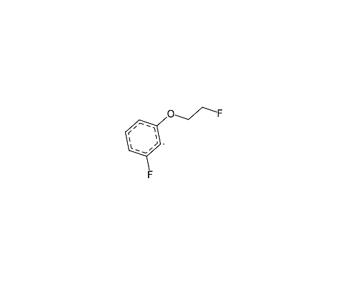 FCCOc1[c]c(F)ccc1